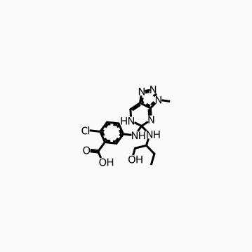 CCC(CO)NC1(Nc2ccc(Cl)c(C(=O)O)c2)N=c2c(nnn2C)=CN1